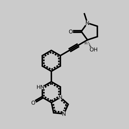 CN1CC[C@@](O)(C#Cc2cccc(-c3cn4cncc4c(=O)[nH]3)c2)C1=O